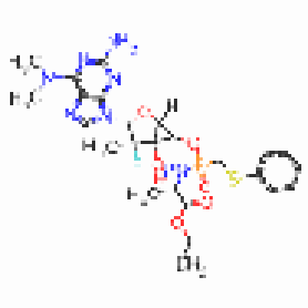 CCOC(=O)[C@H](C)NP(=O)(CSc1ccccc1)OC1[C@H]2O[C@@H](n3cnc4c(N(C)C)nc(N)nc43)[C@](C)(F)[C@@]12O